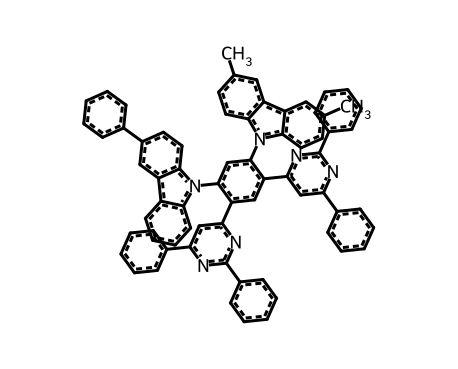 Cc1ccc2c(c1)c1cc(C)ccc1n2-c1cc(-n2c3ccccc3c3cc(-c4ccccc4)ccc32)c(-c2cc(-c3ccccc3)nc(-c3ccccc3)n2)cc1-c1cc(-c2ccccc2)nc(-c2ccccc2)n1